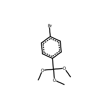 COC(OC)(OC)c1ccc(Br)cc1